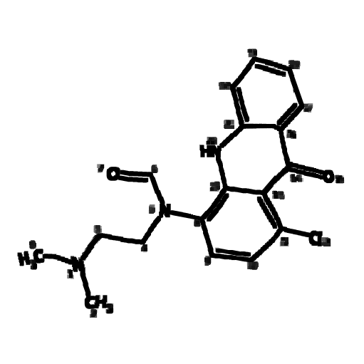 CN(C)CCN(C=O)c1ccc(Cl)c2c(=O)c3ccccc3[nH]c12